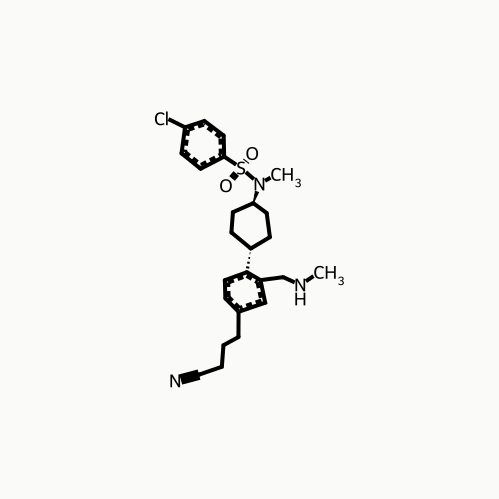 CNCc1cc(CCCC#N)ccc1[C@H]1CC[C@H](N(C)S(=O)(=O)c2ccc(Cl)cc2)CC1